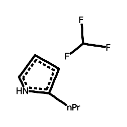 CCCc1ccc[nH]1.FC(F)F